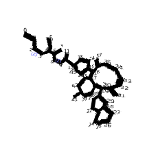 C=C/C=C\C(=C)C(=C)/C=C\C(=C)c1ccc(-c2c3c(c(-c4ccc5ccccc5c4)c(=C)ccccc2=C)C=CC(C)C=C3)cc1